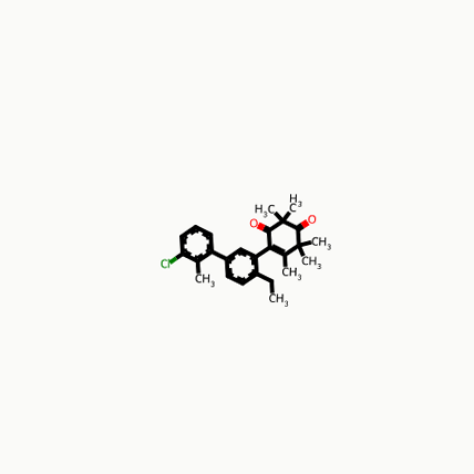 CCc1ccc(-c2cccc(Cl)c2C)cc1C1=C(C)C(C)(C)C(=O)C(C)(C)C1=O